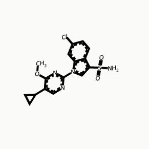 COc1nc(-n2cc(S(N)(=O)=O)c3ccc(Cl)cc32)ncc1C1CC1